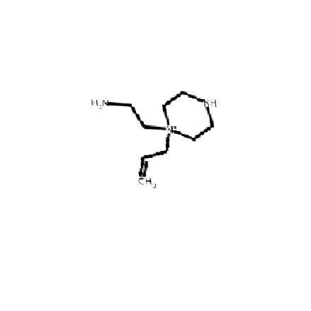 C=CC[N+]1(CCN)CCNCC1